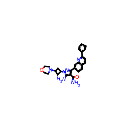 NC(=O)c1c(-c2ccc3ccc(-c4ccccc4)nc3c2)nn(C2CC(N3CCOCC3)C2)c1N